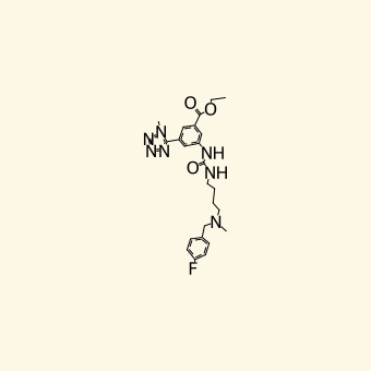 CCOC(=O)c1cc(NC(=O)NCCCCN(C)Cc2ccc(F)cc2)cc(-c2nnnn2C)c1